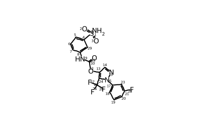 NS(=O)(=O)c1cccc(NC(=O)Oc2cnn(-c3cccc(F)c3)c2C(F)(F)F)c1